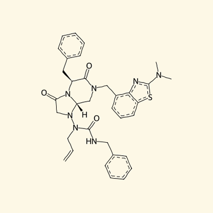 C=CCN(C(=O)NCc1ccccc1)N1CC(=O)N2[C@@H](Cc3ccccc3)C(=O)N(Cc3cccc4sc(N(C)C)nc34)C[C@@H]21